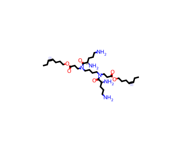 CC/C=C\CCCOC(=O)CCN(CCCCN(CCC(=O)OCCC/C=C\CC)C(=O)[C@@H](N)CCCN)C(=O)[C@@H](N)CCCN